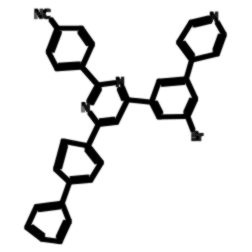 N#Cc1ccc(-c2nc(-c3ccc(-c4ccccc4)cc3)cc(-c3cc(Br)cc(-c4ccncc4)c3)n2)cc1